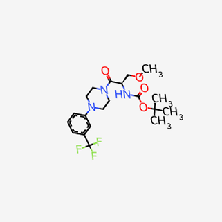 COC[C@@H](NC(=O)OC(C)(C)C)C(=O)N1CCN(c2cccc(C(F)(F)F)c2)CC1